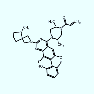 C=CC(=O)N1C[C@H](C)N(c2nc(N3CC4(CCCN4C)C3)nc3c(F)c(-c4c(O)cccc4F)c(Cl)cc23)C[C@H]1C